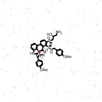 COc1ccc(CNS(=O)(=O)c2c(S(=O)(=O)C[C@@H](O)CN)ccc(-c3cccc4[nH]c(N)nc34)c2-c2nnn(Cc3ccc(OC)cc3)n2)cc1